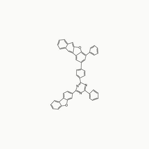 c1ccc(-c2nc(-c3ccc(-c4cc(-c5ccccc5)c5oc6cc7ccccc7cc6c5c4)cc3)nc(-c3ccc4c(c3)oc3ccccc34)n2)cc1